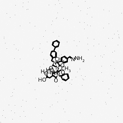 CNC(CC(=O)O)C(=O)N(c1ccccc1)[C@](C(C)=O)(C(=O)O)N1C(=O)N(Cc2ccc(-c3ccccc3)cc2)[C@](C)(c2ccc(C=NN)cc2)C1=O